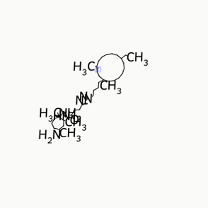 CCC1CCCCCCC(C)(CCCCn2cc(CCC(=O)NC3(C)CC(C)(N)CCCC3(C)N)nn2)C/C=C(/C)CCCCC1